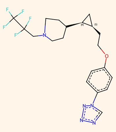 FC(F)(F)C(F)(F)CN1CCC([C@H]2C[C@H]2CCOc2ccc(-n3cnnn3)cc2)CC1